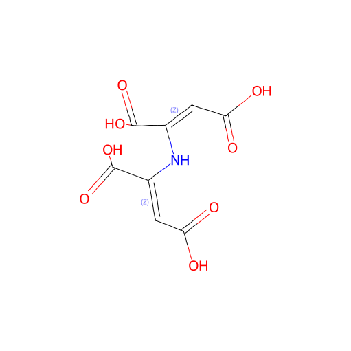 O=C(O)/C=C(\N/C(=C\C(=O)O)C(=O)O)C(=O)O